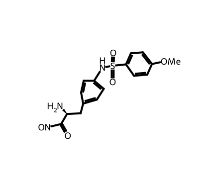 COc1ccc(S(=O)(=O)Nc2ccc(C[C@H](N)C(=O)N=O)cc2)cc1